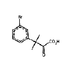 CC(C)(C(=O)C(=O)O)c1cccc(Br)c1